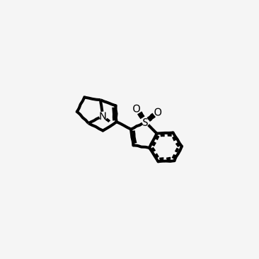 CN1C2C=C(C3=Cc4ccccc4S3(=O)=O)CC1CC2